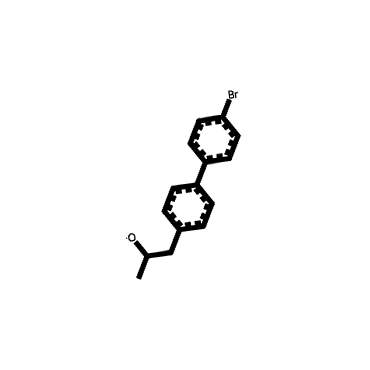 CC([O])Cc1ccc(-c2ccc(Br)cc2)cc1